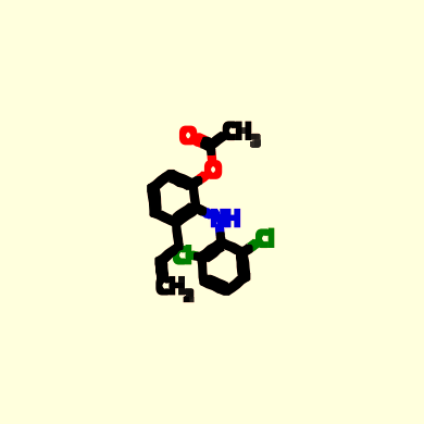 C=CCc1cccc(OC(C)=O)c1Nc1c(Cl)cccc1Cl